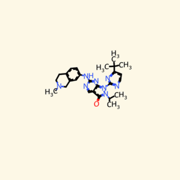 CC(C)n1c(=O)c2cnc(Nc3ccc4c(c3)CN(C)CC4)nc2n1-c1nccc(C(C)(C)C)n1